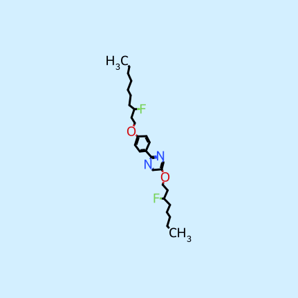 CCCCCCCC(F)CCOc1ccc(-c2ncc(OCCC(F)CCCCC)cn2)cc1